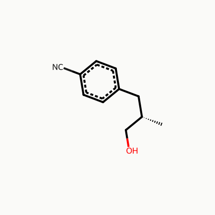 C[C@H](CO)Cc1ccc(C#N)cc1